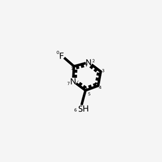 Fc1nccc(S)n1